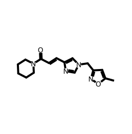 Cc1cc(Cn2cnc(C=CC(=O)N3CCCCC3)c2)no1